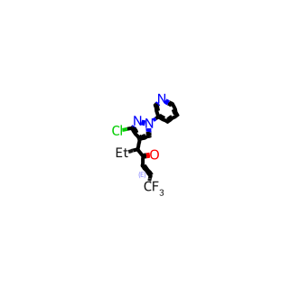 CCC(C(=O)/C=C/C(F)(F)F)c1cn(-c2cccnc2)nc1Cl